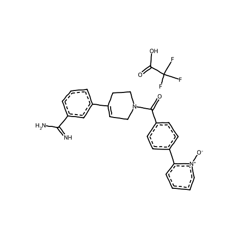 N=C(N)c1cccc(C2=CCN(C(=O)c3ccc(-c4cccc[n+]4[O-])cc3)CC2)c1.O=C(O)C(F)(F)F